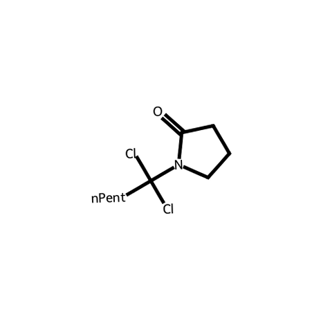 CCCCCC(Cl)(Cl)N1CCCC1=O